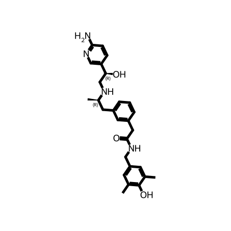 Cc1cc(CNC(=O)Cc2cccc(C[C@@H](C)NC[C@H](O)c3ccc(N)nc3)c2)cc(C)c1O